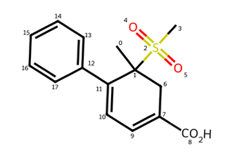 CC1(S(C)(=O)=O)CC(C(=O)O)=CC=C1c1ccccc1